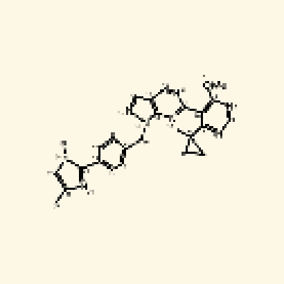 COc1ncnc(C2(C)CC2)c1-c1ncc2cnn(Cc3ccc(-c4nc(C)cn4C)cc3)c2n1